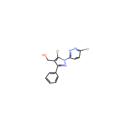 OCc1c(-c2ccccc2)nn(-c2ccc(Cl)nn2)c1Cl